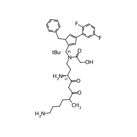 CC(CCCCN)C(=O)CC(=O)[C@@H](N)CCN(C(=O)CO)[C@@H](C1=CC(c2cc(F)ccc2F)=CC1Cc1ccccc1)C(C)(C)C